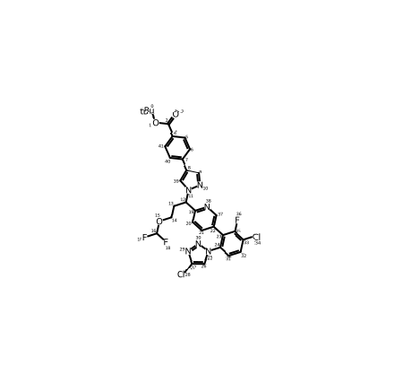 CC(C)(C)OC(=O)c1ccc(-c2cnn(C(CCOC(F)F)c3ccc(-c4c(-n5cc(Cl)nn5)ccc(Cl)c4F)cn3)c2)cc1